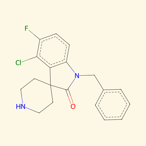 O=C1N(Cc2ccccc2)c2ccc(F)c(Cl)c2C12CCNCC2